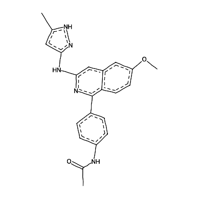 COc1ccc2c(-c3ccc(NC(C)=O)cc3)nc(Nc3cc(C)[nH]n3)cc2c1